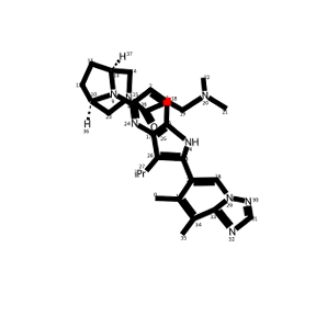 Cc1c(-c2[nH]c3ccc(N4[C@@H]5CC[C@H]4CN(C(=O)CCN(C)C)C5)nc3c2C(C)C)cn2ncnc2c1C